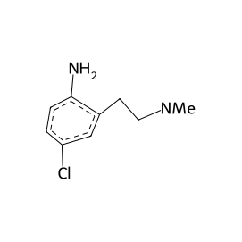 CNCCc1cc(Cl)ccc1N